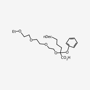 CCCCCCCCCCCCCC(OCCOCCOCCOCC)(Oc1ccccc1)C(=O)O